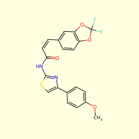 COc1ccc(-c2csc(NC(=O)/C=C\c3ccc4c(c3)OC(F)(F)O4)n2)cc1